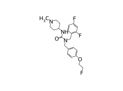 CN1CCC(NC(=O)N(Cc2ccc(OCCF)cc2)Cc2ccc(F)cc2F)CC1